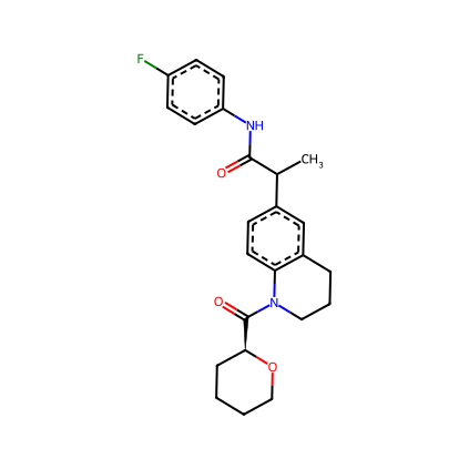 CC(C(=O)Nc1ccc(F)cc1)c1ccc2c(c1)CCCN2C(=O)[C@@H]1CCCCO1